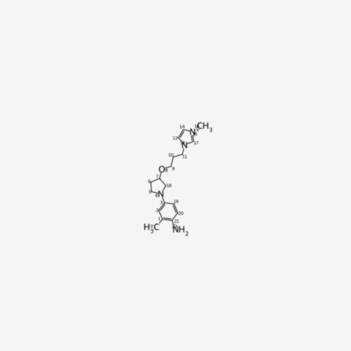 Cc1cc(N2CCC(OCCCn3cc[n+](C)c3)C2)ccc1N